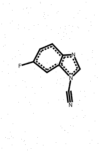 N#Cn1cnc2ccc(F)cc21